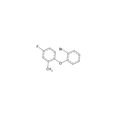 Cc1cc(F)ccc1Oc1ccccc1Br